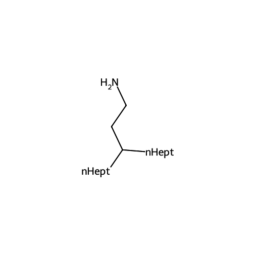 CCCCCCCC(CCN)CCCCCCC